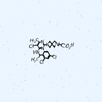 Cc1nc(N2CC3(CN(C(=O)O)C3)C2)nc(NC(C)c2ccc(Cl)cc2Cl)c1Cl